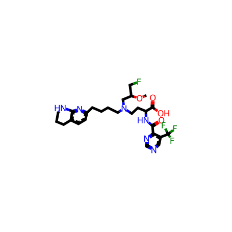 COC(CF)CN(CCCCc1ccc2c(n1)NCCC2)CCC(NC(=O)c1ncncc1C(F)(F)F)C(=O)O